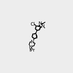 Cc1nc2c(Cl)cc(-c3ccc(N4CCN(C(C)C)CC4)cc3)cc2n1C